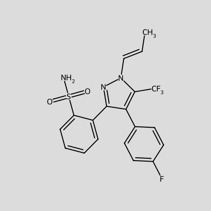 CC=Cn1nc(-c2ccccc2S(N)(=O)=O)c(-c2ccc(F)cc2)c1C(F)(F)F